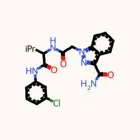 CC(C)C(NC(=O)Cn1nc(C(N)=O)c2ccccc21)C(=O)Nc1cccc(Cl)c1